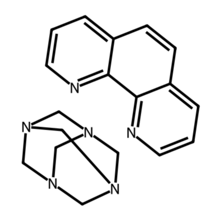 C1N2CN3CN1CN(C2)C3.c1cnc2c(c1)ccc1cccnc12